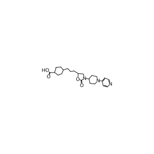 O=C(O)C1CCC(CCCC2CN(C3CCN(c4ccncc4)CC3)C(=O)O2)CC1